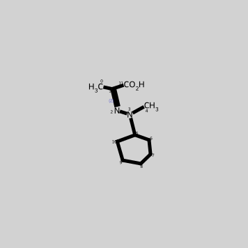 C/C(=N/N(C)C1CCCCC1)C(=O)O